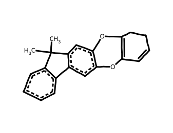 CC1(C)c2ccccc2-c2cc3c(cc21)OC1=C(C=CCC1)O3